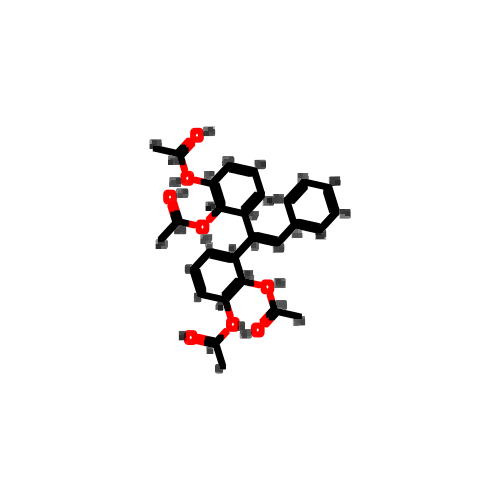 CC(=O)Oc1cccc(C(=Cc2ccccc2)c2cccc(OC(C)=O)c2OC(C)=O)c1OC(C)=O